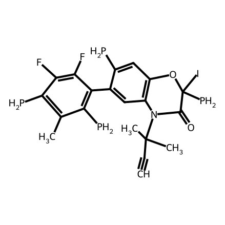 C#CC(C)(C)N1C(=O)C(P)(I)Oc2cc(P)c(-c3c(F)c(F)c(P)c(C)c3P)cc21